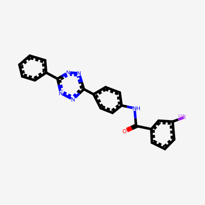 O=C(Nc1ccc(-c2nnc(-c3ccccc3)nn2)cc1)c1cccc([124I])c1